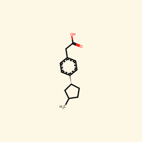 CC1CC[C@@H](c2ccc(CC(=O)O)cc2)C1